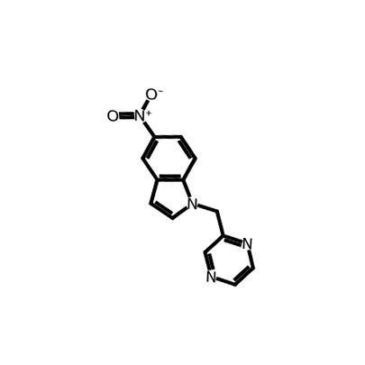 O=[N+]([O-])c1ccc2c(ccn2Cc2cnccn2)c1